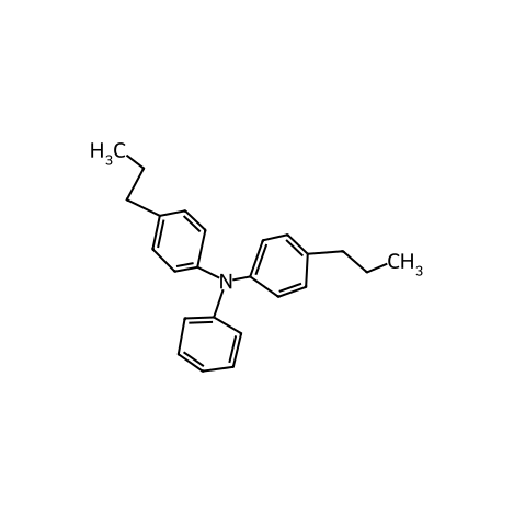 CCCc1ccc(N(c2ccccc2)c2ccc(CCC)cc2)cc1